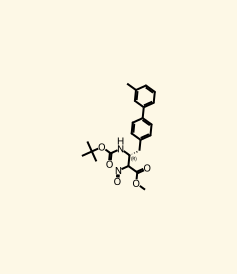 COC(=O)C(N=O)[C@@H](Cc1ccc(-c2cccc(C)c2)cc1)NC(=O)OC(C)(C)C